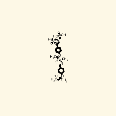 CCC(C)(C)OC1CCC(/C=N/N(C)[PH](=S)C(C)Oc2ccc(CCN(CP(=O)(O)O)CP(=O)(O)O)cc2)CC1